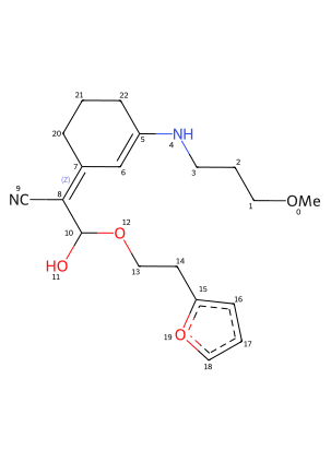 COCCCNC1=C/C(=C(/C#N)C(O)OCCc2ccco2)CCC1